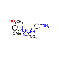 COc1ccc(C(C)O)cc1CNc1ncc([N+](=O)[O-])c(NCC2CCC(CN)CC2)n1